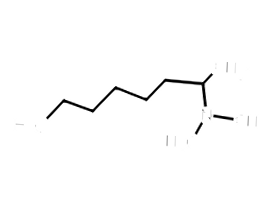 [CH2]C(CCCCCC)N(C)C